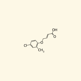 Cc1cc(Cl)ccc1OC/C=C/C(=O)O